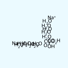 O.O.O.O.O.O.O.O.O.O.O.O=C(O)O.O=C([O-])[O-].[Na+].[Na+]